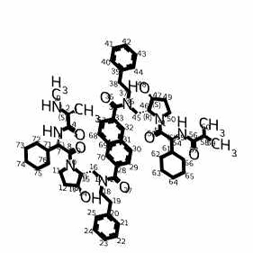 CN[C@@H](C)C(=O)N[C@H](C(=O)N1CC[C@H](O)[C@H]1CN(CCc1ccccc1)C(=O)c1ccc2cc(C(=O)N(CCc3ccccc3)C[C@@H]3[C@@H](O)CCN3C(=O)[C@@H](NC(=O)C(C)C)C3CCCCC3)ccc2c1)C1CCCCC1